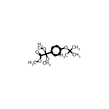 COC(=O)C(OC)(OC)c1ccc(OC(C)(C)C)cc1